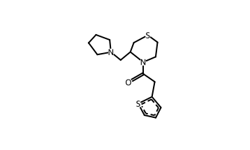 O=C(Cc1cccs1)N1CCSCC1CN1CCCC1